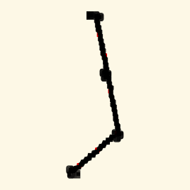 O=C(O)CCCCCCCCCCCCCCCCCCCCCCC(=O)OC(=O)CCCCCCCCCCCCCCCCCCCCCCCC(=O)OC(=O)CCCCCCCCCCCCCCCCCCCCCCC(=O)O